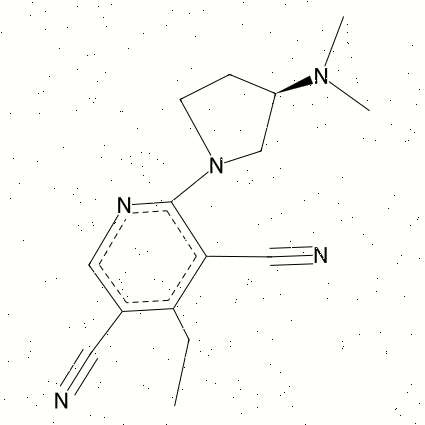 CCc1c(C#N)cnc(N2CC[C@@H](N(C)C)C2)c1C#N